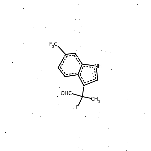 CC(F)(C=O)c1c[nH]c2cc(C(F)(F)F)ccc12